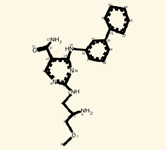 COCC(N)CNc1ncc(C(N)=O)c(Nc2cccc(-c3ccccc3)c2)n1